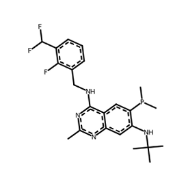 Cc1nc(NCc2cccc(C(F)F)c2F)c2cc(P(C)C)c(NC(C)(C)C)cc2n1